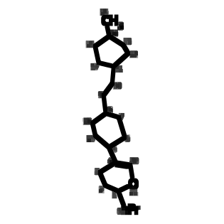 CCCC1CCC(C2CCC(CCC3CCC(C)CC3)CC2)=CO1